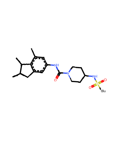 Cc1cc(NC(=O)N2CCC(NS(=O)(=O)C(C)(C)C)CC2)cc2c1C(C)C(C)C2